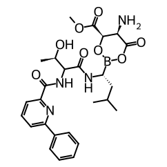 COC(=O)[C@@H]1OB([C@H](CC(C)C)NC(=O)C(NC(=O)c2cccc(-c3ccccc3)n2)[C@@H](C)O)OC(=O)[C@@H]1N